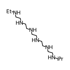 CCNCCNCCNCCNCCNCCNC(C)C